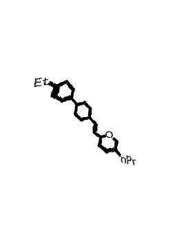 CCCC1CCC(/C=C/C2CCC(c3ccc(CC)cc3)CC2)OC1